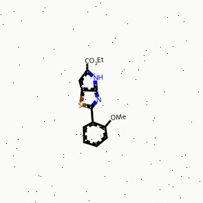 CCOC(=O)c1cc2sc(-c3ccccc3OC)nc2[nH]1